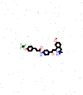 COc1ccc2c(c1)C(=CC(=O)c1ccc(NC(=O)C=Cc3ccc(OC(F)(F)F)cc3)cc1)NC(C)(C)C2